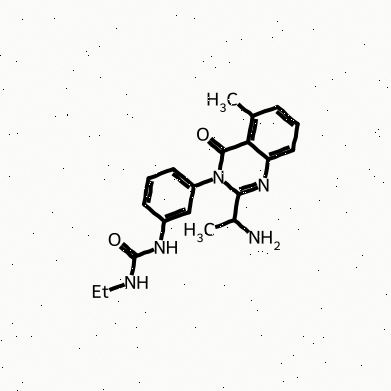 CCNC(=O)Nc1cccc(-n2c(C(C)N)nc3cccc(C)c3c2=O)c1